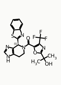 CC(C)(O)c1nc(C(F)(F)F)c(C(=O)N2CCc3[nH]cnc3[C@H]2c2nc3ccccc3s2)o1